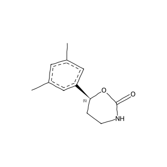 Cc1cc(C)cc([C@@H]2CCNC(=O)O2)c1